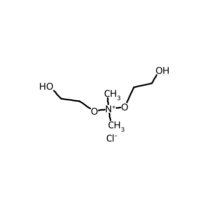 C[N+](C)(OCCO)OCCO.[Cl-]